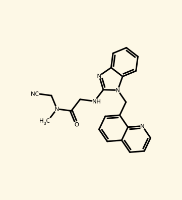 CN(CC#N)C(=O)CNc1nc2ccccc2n1Cc1cccc2cccnc12